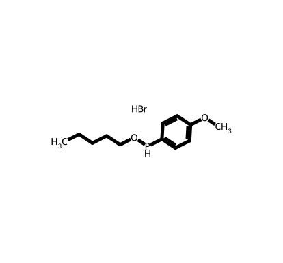 Br.CCCCCOPc1ccc(OC)cc1